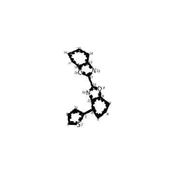 c1csc(-c2cccc3oc(-c4nc5ccccc5o4)nc23)c1